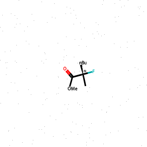 CCCC[C@](C)(F)C(=O)OC